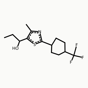 CCC(O)c1sc(C2CCC(C(F)(F)F)CC2)nc1C